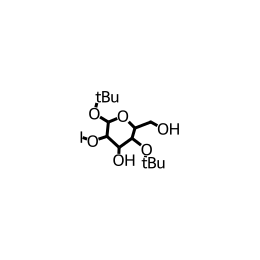 CC(C)(C)OC1OC(CO)C(OC(C)(C)C)C(O)C1OI